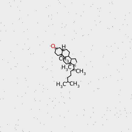 CC(C)CCC[C@@H](C)[C@H]1CCC2C3CC[C@H]4C[C@@H]([O])CC[C@]4(C)C3CC[C@@]21C